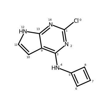 Clc1nc(NC2=CC=C2)c2cc[nH]c2n1